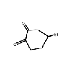 CCC1CCC(=O)C(=O)C1